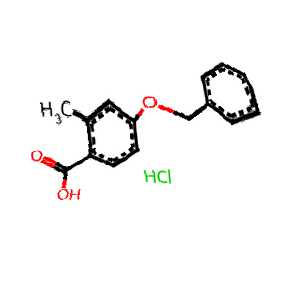 Cc1cc(OCc2ccccc2)ccc1C(=O)O.Cl